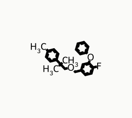 Cc1ccc(C(C)(C)COCc2ccc(F)c(Oc3ccccc3)c2)cc1